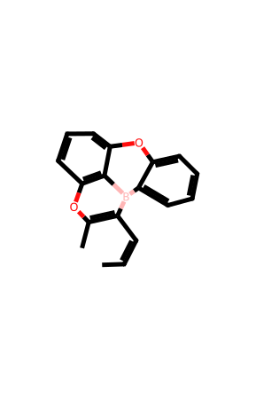 C/C=C\C1=C(C)Oc2cccc3c2B1c1ccccc1O3